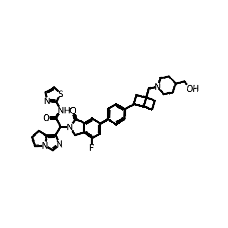 O=C(Nc1nccs1)C(c1ncn2c1CCC2)N1Cc2c(F)cc(-c3ccc(C45CC6(CN7CCC(CO)CC7)CC4C65)cc3)cc2C1=O